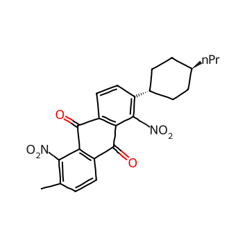 CCC[C@H]1CC[C@H](c2ccc3c(c2[N+](=O)[O-])C(=O)c2ccc(C)c([N+](=O)[O-])c2C3=O)CC1